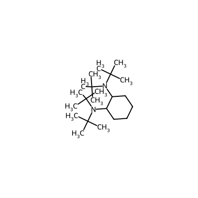 CC(C)(C)N(C1CCCCC1N(C(C)(C)C)C(C)(C)C)C(C)(C)C